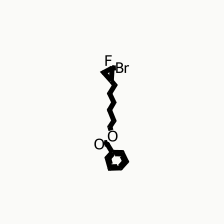 O=C(OCCCCCCC1CC1(F)Br)c1ccccc1